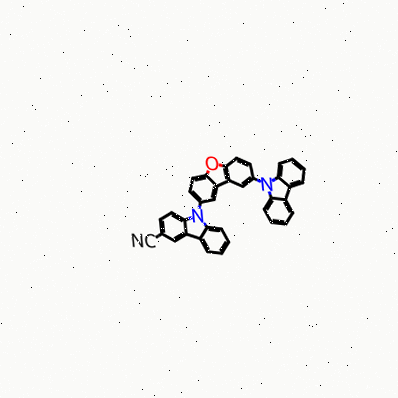 N#Cc1ccc2c(c1)c1ccccc1n2-c1ccc2oc3ccc(-n4c5ccccc5c5ccccc54)cc3c2c1